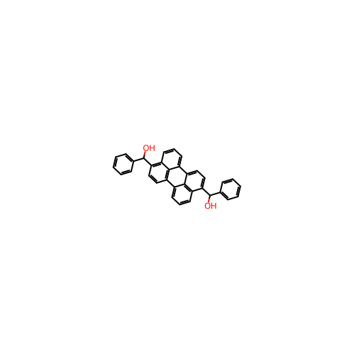 OC(c1ccccc1)c1ccc2c3cccc4c(C(O)c5ccccc5)ccc(c5cccc1c52)c43